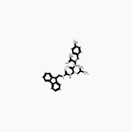 CC(C)C[C@H](NC(=O)OCC1c2ccccc2-c2ccccc21)C(=O)N[C@H](Cc1ccc(O)cc1)C(=O)O